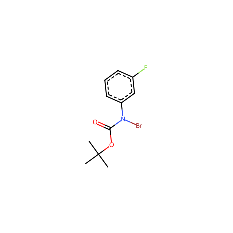 CC(C)(C)OC(=O)N(Br)c1cccc(F)c1